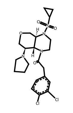 O=C(Cc1ccc(Cl)c(Cl)c1)N1CCN(S(=O)(=O)C2CC2)[C@@H]2COC[C@H](N3CCCC3)[C@H]21